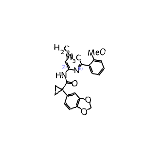 C=N/C=C(\N=C(/C)c1ccccc1OC)NC(=O)C1(c2ccc3c(c2)OCO3)CC1